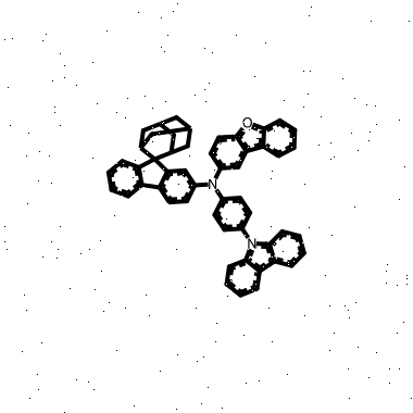 c1ccc2c(c1)-c1ccc(N(c3ccc(-n4c5ccccc5c5ccccc54)cc3)c3ccc4oc5ccccc5c4c3)cc1C21C2CC3CC(C2)CC1C3